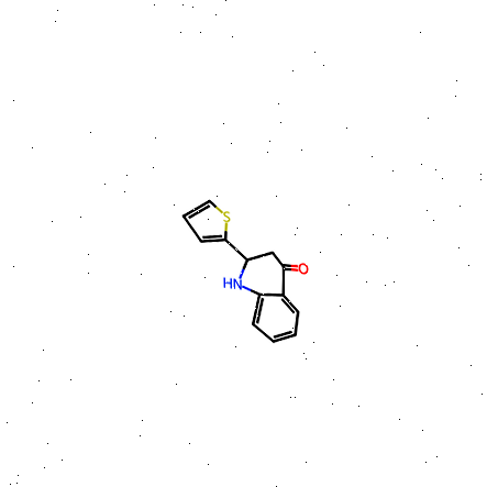 O=C1CC(c2cccs2)Nc2ccccc21